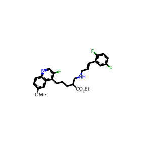 CCOC(=O)C(CCCc1c(F)cnc2ccc(OC)cc12)CNCC=Cc1cc(F)ccc1F